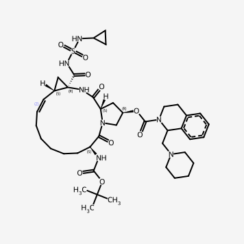 CC(C)(C)OC(=O)N[C@H]1CCCCC/C=C\[C@@H]2C[C@@]2(C(=O)NS(=O)(=O)NC2CC2)NC(=O)[C@@H]2C[C@@H](OC(=O)N3CCc4ccccc4C3CN3CCCCC3)CN2C1=O